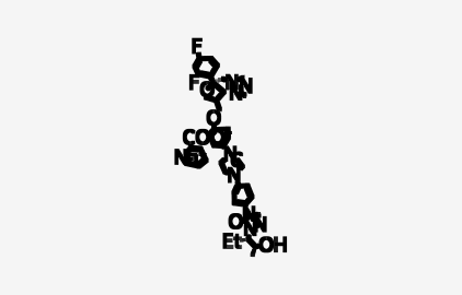 CC[C@@H]([C@H](C)O)n1ncn(-c2ccc(N3CCN(c4ccc(OCC5CO[C@@](Cn6cncn6)(c6ccc(F)cc6F)C5)cc4)CC3)cc2)c1=O.O=C([O-])c1ccccc1.[Na+]